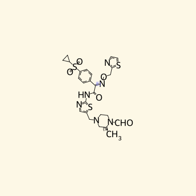 C[C@H]1CN(Cc2cnc(NC(=O)/C(=N/OCc3nccs3)c3ccc(S(=O)(=O)C4CC4)cc3)s2)CCN1C=O